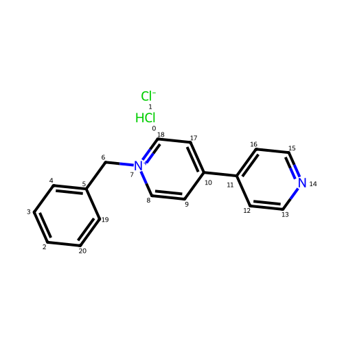 Cl.[Cl-].c1ccc(C[n+]2ccc(-c3ccncc3)cc2)cc1